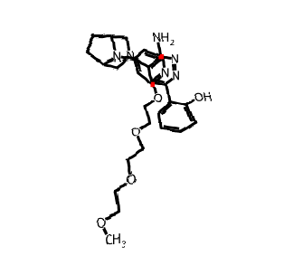 COCCOCCOCCOc1cc(N2C3CCC2CN(c2cc(-c4ccccc4O)nnc2N)C3)ccn1